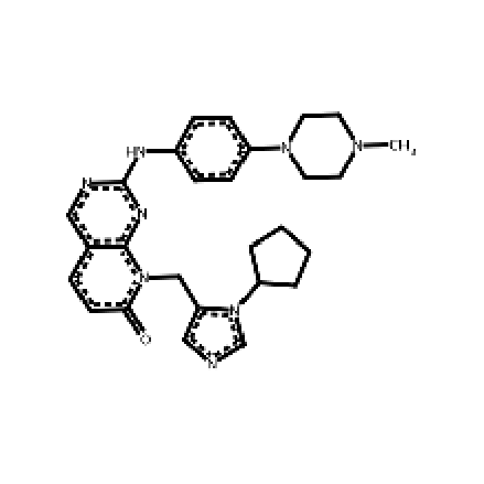 CN1CCN(c2ccc(Nc3ncc4ccc(=O)n(Cc5cncn5C5CCCC5)c4n3)cc2)CC1